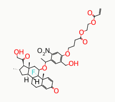 C=CC(=O)OCCOC(=O)CCCOc1cc([N+](=O)[O-])c(C(C)O[C@@H]2C[C@]3(C)[C@H](C[C@H](C)[C@H]3C(=O)CO)[C@H]3CCC4=CC(=O)C=C[C@@]4(C)[C@@]32F)cc1CO